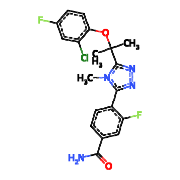 Cn1c(-c2ccc(C(N)=O)cc2F)nnc1C(C)(C)Oc1ccc(F)cc1Cl